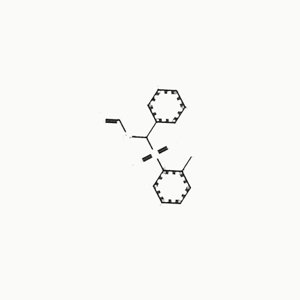 Cc1ccccc1S(=O)(=O)C(NC=O)c1ccccc1